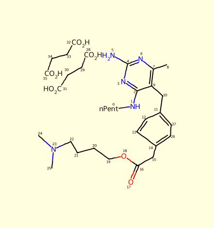 CCCCCNc1nc(N)nc(C)c1Cc1ccc(CC(=O)OCCCCN(C)C)cc1.O=C(O)CCC(=O)O.O=C(O)CCC(=O)O